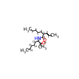 C/C=C/C(CCCCC)C(=O)NC(CCCCC)C(C)=O